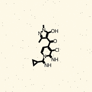 Cc1nn(C)c(O)c1C(=O)c1ccn(C(=N)C2CC2)c(=N)c1Cl